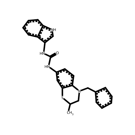 CC1CN(Cc2ccccc2)c2ccc(NC(=O)Nc3c[nH]c4ccccc34)cc2S1